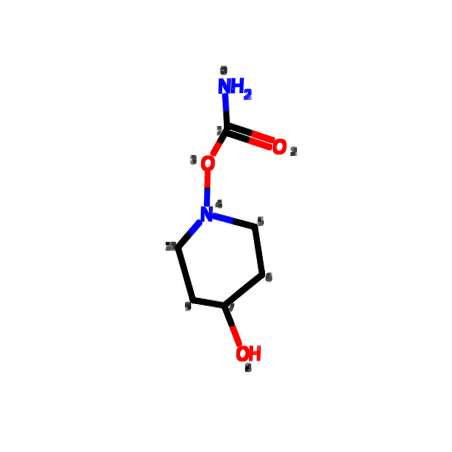 NC(=O)ON1CCC(O)CC1